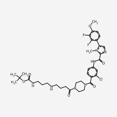 COc1ccc(-c2cnc(C(=O)Nc3ccc(C(=O)N4CCN(C(=O)CCCNCCCNC(=O)OC(C)(C)C)CC4)c(Cl)c3)n2C)c(F)c1F